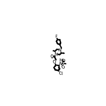 CC1CN(C(=O)COc2ccc(Cl)cc2NS(C)(=O)=O)C(C)CN1Cc1ccc(F)cc1